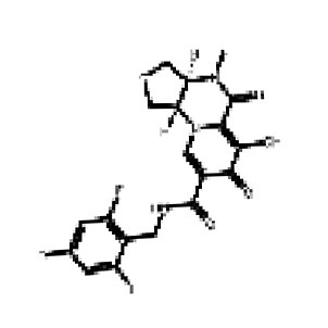 CN1C(=O)c2c(O)c(=O)c(C(=O)NCc3c(F)cc(F)cc3F)cn2[C@@H]2COC[C@H]21